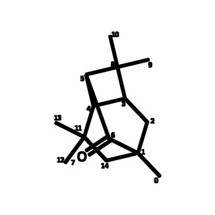 CC12CC3C(C(C1=O)C3(C)C)C(C)(C)C2